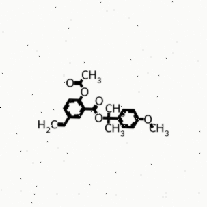 C=Cc1ccc(OC(C)=O)c(C(=O)OC(C)(C)c2ccc(OC)cc2)c1